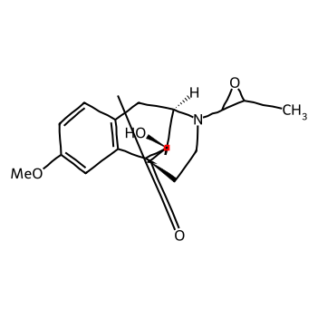 COc1ccc2c(c1)[C@]13CCN(C4OC4C)[C@H](C2)[C@]1(O)CCC(=O)C3